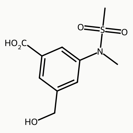 CN(c1cc(CO)cc(C(=O)O)c1)S(C)(=O)=O